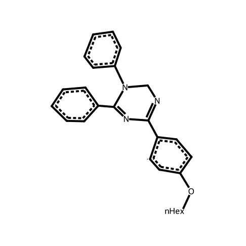 CCCCCCOc1c[c]c(C2=NCN(c3ccccc3)C(c3ccccc3)=N2)cc1